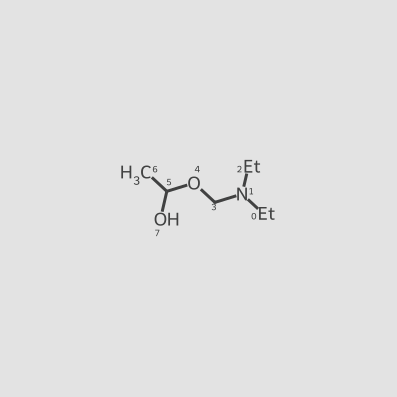 CCN(CC)COC(C)O